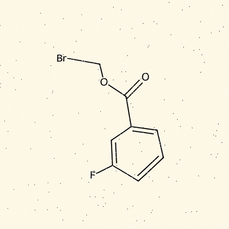 O=C(OCBr)c1cccc(F)c1